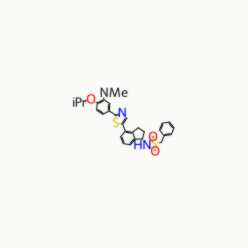 CNc1cc(-c2ncc(-c3cccc4c3CC[C@@H]4NS(=O)(=O)Cc3ccccc3)s2)ccc1OC(C)C